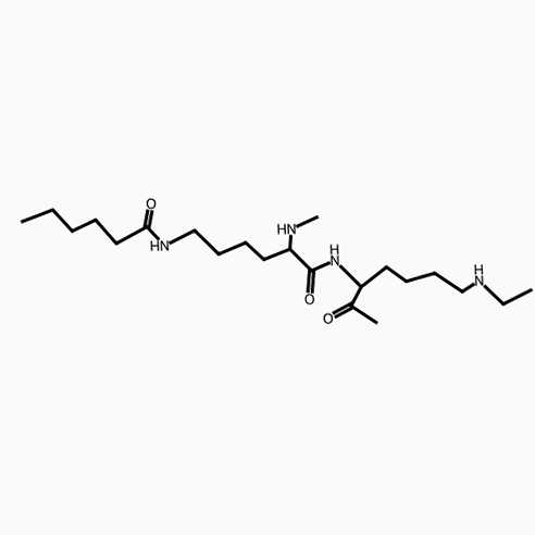 CCCCCC(=O)NCCCCC(NC)C(=O)NC(CCCCNCC)C(C)=O